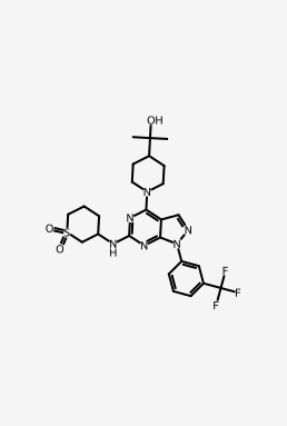 CC(C)(O)C1CCN(c2nc(NC3CCCS(=O)(=O)C3)nc3c2cnn3-c2cccc(C(F)(F)F)c2)CC1